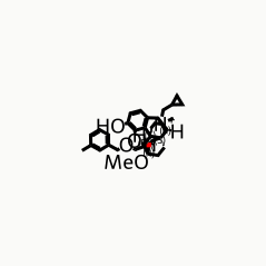 CO[C@]12CC[C@@]3(C[C@@H]1COCc1cccc(C)c1)[C@H]1Cc4ccc(O)c5c4[C@@]3(CC[N+]1(C)CC1CC1)[C@H]2O5